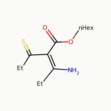 CCCCCCOC(=O)C(C(=S)CC)=C(N)CC